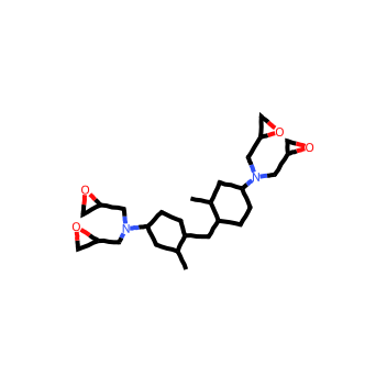 CC1CC(N(CC2CO2)CC2CO2)CCC1CC1CCC(N(CC2CO2)CC2CO2)CC1C